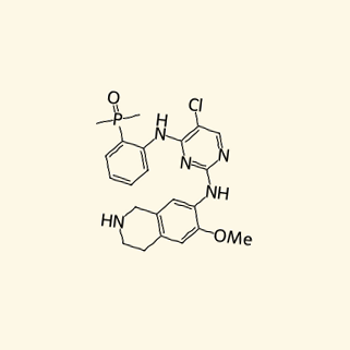 COc1cc2c(cc1Nc1ncc(Cl)c(Nc3ccccc3P(C)(C)=O)n1)CNCC2